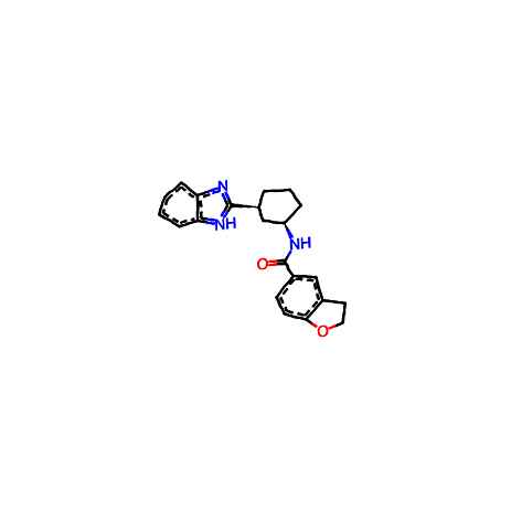 O=C(N[C@@H]1CCC[C@H](c2nc3ccccc3[nH]2)C1)c1ccc2c(c1)CCO2